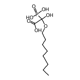 CCCCCCCCOC(O)(C(=O)O)P(=O)(O)O